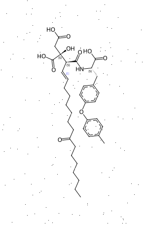 CCCCCCCC(=O)CCCCCC/C=C/[C@H](C(=O)N[C@@H](Cc1ccc(Oc2ccc(C)cc2)cc1)C(=O)O)[C@@](O)(CC(=O)O)C(=O)O